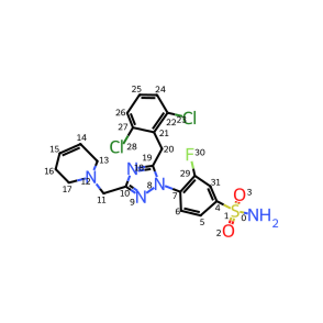 NS(=O)(=O)c1ccc(-n2nc(CN3CC=CCC3)nc2Cc2c(Cl)cccc2Cl)c(F)c1